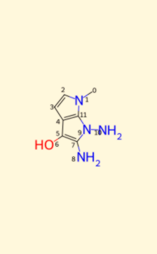 Cn1ccc2c(O)c(N)n(N)c21